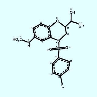 O=C(O)Nc1ccc2c(c1)N(S(=O)(=O)c1ccc(F)cc1)CC(C(O)C(F)(F)F)O2